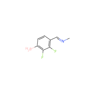 Bc1ccc(/C=N/C)c(F)c1F